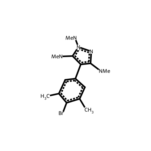 CNc1nn(NC)c(NC)c1-c1cc(C)c(Br)c(C)c1